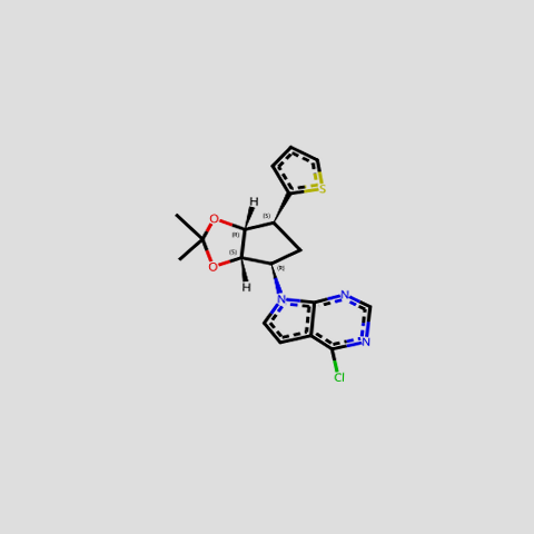 CC1(C)O[C@@H]2[C@H](O1)[C@@H](c1cccs1)C[C@H]2n1ccc2c(Cl)ncnc21